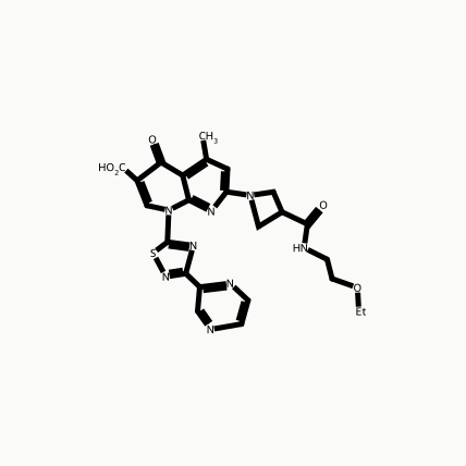 CCOCCNC(=O)C1CN(c2cc(C)c3c(=O)c(C(=O)O)cn(-c4nc(-c5cnccn5)ns4)c3n2)C1